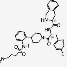 NCCCS(=O)(=O)Nc1ccccc1C1CCN(C(=O)[C@@H](Cc2ccc(Cl)cc2)NC(=O)[C@@H]2Cc3ccccc3CN2)CC1